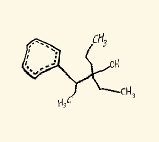 CCC(O)(CC)C(C)c1ccccc1